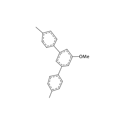 COc1cc(-c2ccc(C)cc2)cc(-c2ccc(C)cc2)c1